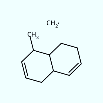 CC1C=CCC2C=CCCC12.[CH2]